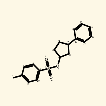 Cc1ccc(S(=O)(=O)OC2CCC(c3ccccc3)C2)cc1